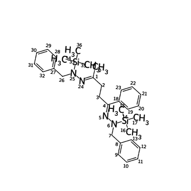 CC(CCC(=NN(Cc1ccccc1)[Si](C)(C)C)c1ccccc1)=NN(Cc1ccccc1)[Si](C)(C)C